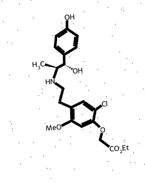 CCOC(=O)COc1cc(OC)c(CCN[C@@H](C)[C@@H](O)c2ccc(O)cc2)cc1Cl